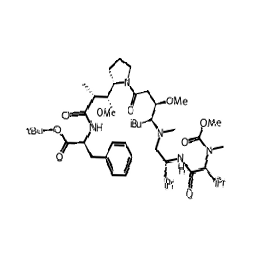 CC[C@H](C)[C@@H]([C@@H](CC(=O)N1CCC[C@H]1[C@H](OC)[C@@H](C)C(=O)N[C@@H](Cc1ccccc1)C(=O)OC(C)(C)C)OC)N(C)C[C@@H](NC(=O)[C@H](C(C)C)N(C)C(=O)OC)C(C)C